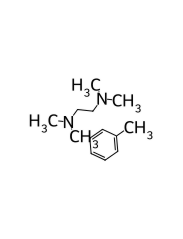 CN(C)CCN(C)C.Cc1ccccc1